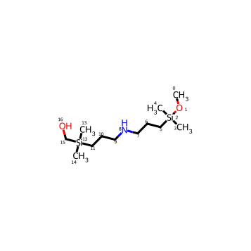 CO[Si](C)(C)CCCNCCC[Si](C)(C)CO